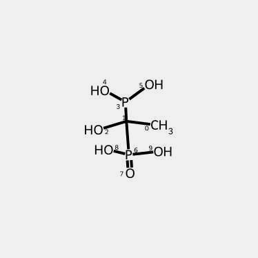 CC(O)(P(O)O)P(=O)(O)O